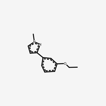 CCOc1cccc(-c2ccn(C)n2)c1